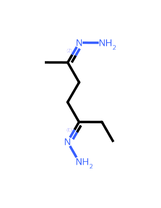 CC/C(CC/C(C)=N\N)=N\N